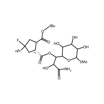 CCCC1(F)C[C@@H](C(=O)OC(C(O)C(N)=O)C2OC(SC)C(O)C(O)C2O)N(C(=O)OC(C)(C)C)C1